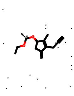 C#CCC1=C(C)C(O[C@@H](C)OCC)CC1=C